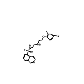 Cc1cc(Br)ccc1OCCNCCNS(=O)(=O)c1cccc2cnccc12